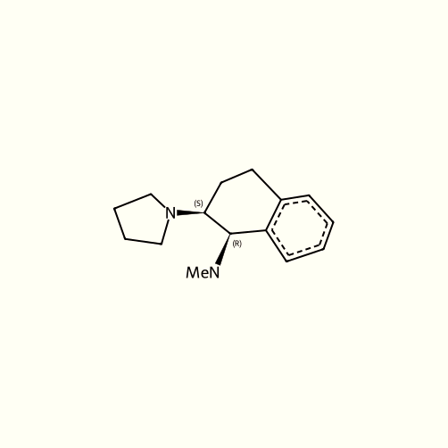 CN[C@@H]1c2ccccc2CC[C@@H]1N1CCCC1